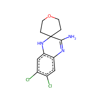 NC1=Nc2cc(Cl)c(Cl)cc2NC12CCOCC2